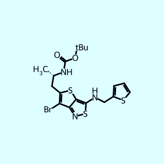 C[C@@H](Cc1sc2c(NCc3cccs3)snc2c1Br)NC(=O)OC(C)(C)C